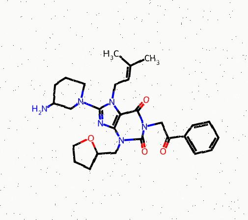 CC(C)=CCn1c(N2CCCC(N)C2)nc2c1c(=O)n(CC(=O)c1ccccc1)c(=O)n2CC1CCCO1